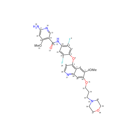 COc1cc2c(Oc3cc(F)c(NC(=O)c4cnc(N)cc4OC)cc3F)ccnc2cc1OCCCN1CCOCC1